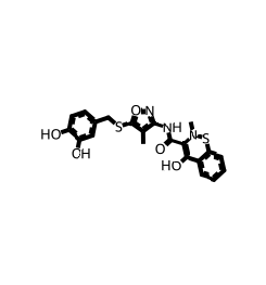 Cc1c(NC(=O)C2=C(O)c3ccccc3SN2C)noc1SCc1ccc(O)c(O)c1